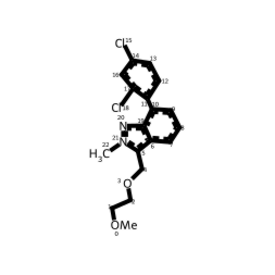 COCCOCc1c2cccc(-c3ccc(Cl)cc3Cl)c2nn1C